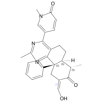 Cc1nc(-c2ccc(=O)n(C)c2)c2c(n1)[C@@]1(c3ccccc3)C/C(=C/O)C(=O)[C@@H](C)[C@@H]1CC2